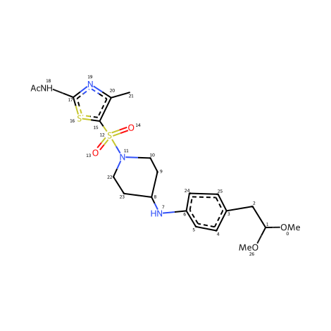 COC(Cc1ccc(NC2CCN(S(=O)(=O)c3sc(NC(C)=O)nc3C)CC2)cc1)OC